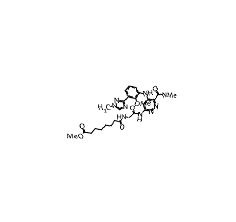 CNC(=O)c1nnc(NC(=O)CNC(=O)CCCCCCC(=O)OC)cc1Nc1cccc(-c2ncn(C)n2)c1OC